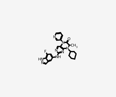 C[C@@H]1C(=O)N(c2cccnc2)c2cnc(Nc3cc(F)c4[nH]ncc4c3)nc2N1C1CCCCC1